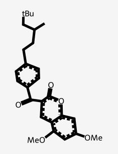 COc1cc(OC)c2cc(C(=O)c3ccc(CCC(C)CC(C)(C)C)cc3)c(=O)oc2c1